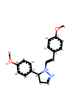 COc1ccc(C=CN2N=CCC2c2ccc(OC)cc2)cc1